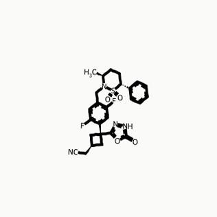 C[C@H]1CC[C@H](c2ccccc2)S(=O)(=O)N1Cc1cc(F)c([C@]2(c3n[nH]c(=O)o3)C[C@H](CC#N)C2)cc1F